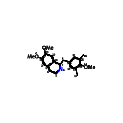 COc1cc2ccnc(Cc3cc(C)c(OC)c(C)c3)c2cc1OC